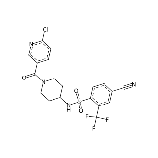 N#Cc1ccc(S(=O)(=O)NC2CCN(C(=O)c3ccc(Cl)nc3)CC2)c(C(F)(F)F)c1